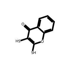 O=c1c(S)c(S)oc2ccccc12